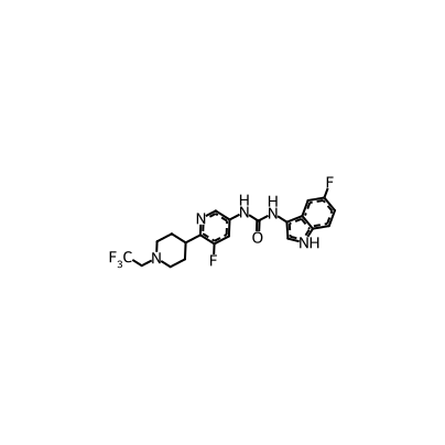 O=C(Nc1cnc(C2CCN(CC(F)(F)F)CC2)c(F)c1)Nc1c[nH]c2ccc(F)cc12